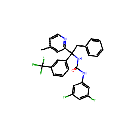 Cc1ccnc(C(Cc2ccccc2)(NC(=O)Nc2cc(F)cc(F)c2)c2cccc(C(F)(F)F)c2)c1